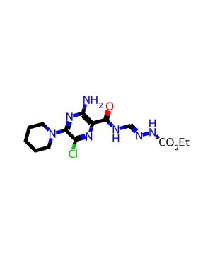 CCOC(=O)NN=CNC(=O)c1nc(Cl)c(N2CCCCC2)nc1N